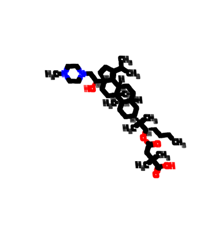 CCCC[C@H](OC(=O)CC(C)(C)C(=O)O)C(C)(C)[C@@H]1CC[C@]2(C)[C@H](CC[C@@H]3C4=C(C(C)C)CC[C@]4([C@H](O)CN4CCN(C)CC4)CC[C@]32C)C1